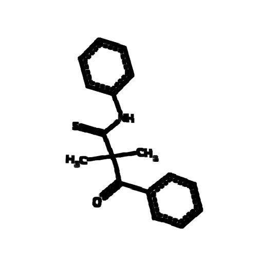 CC(C)(C(=O)c1ccccc1)C(=S)Nc1ccccc1